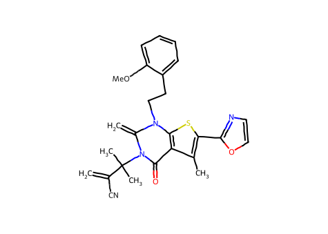 C=C1N(CCc2ccccc2OC)c2sc(-c3ncco3)c(C)c2C(=O)N1C(C)(C)C(=C)C#N